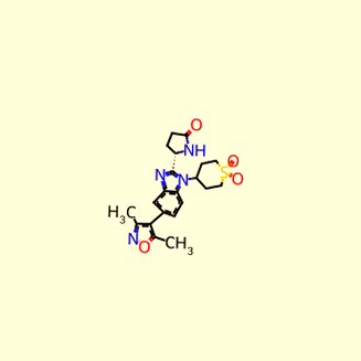 Cc1noc(C)c1-c1ccc2c(c1)nc([C@@H]1CCC(=O)N1)n2C1CCS(=O)(=O)CC1